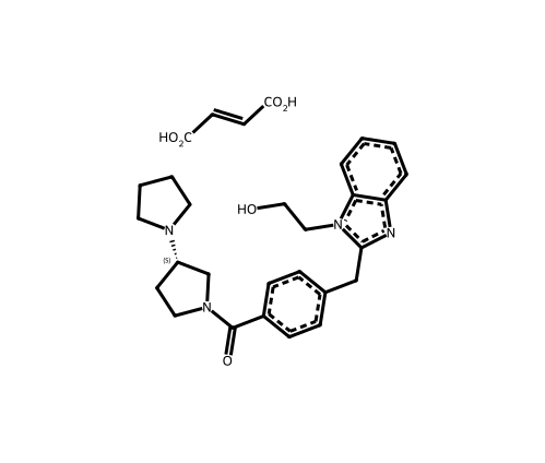 O=C(O)C=CC(=O)O.O=C(c1ccc(Cc2nc3ccccc3n2CCO)cc1)N1CC[C@H](N2CCCC2)C1